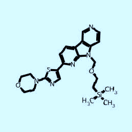 C[Si](C)(C)CCOCn1c2ccncc2c2ccc(-c3cnc(N4CCOCC4)s3)nc21